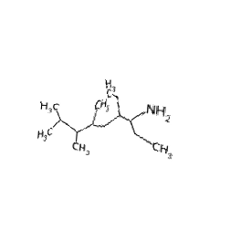 CCC(N)C(CC)CC(C)C(C)C(C)C